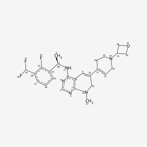 C[C@@H](Nc1ncnc2c1C=C(C1=CCN(C3COC3)CC1)CN2C)c1cccc(C(F)F)c1F